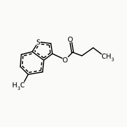 CCCC(=O)Oc1csc2ccc(C)cc12